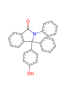 O=C1c2ccccc2C(c2ccccc2)(c2ccc(O)cc2)N1c1ccccc1